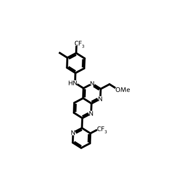 COCc1nc(Nc2ccc(C(F)(F)F)c(C)c2)c2ccc(-c3ncccc3C(F)(F)F)nc2n1